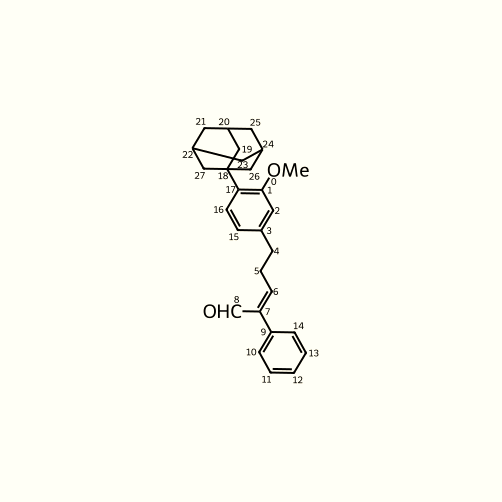 COc1cc(CC/C=C(\C=O)c2ccccc2)ccc1C12CC3CC(CC(C3)C1)C2